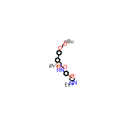 CCCCOCCOc1ccc(-c2ccc([S+]([O-])C(C)C)c(/C=C/C(=O)Nc3ccc([S@+]([O-])Cc4c(C)ncn4CC)cc3)c2)cc1